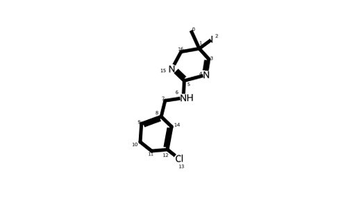 CC1(I)C=NC(NCC2=CCCC(Cl)=C2)=NC1